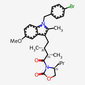 COc1ccc2c(c1)c(C[C@@H](C)[C@H](C)C(=O)N1C(=O)OC[C@@H]1C(C)C)c(C)n2Cc1ccc(Br)cc1